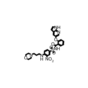 O=C(NS(=O)(=O)c1ccc(NCCCN2CCOCC2)c([N+](=O)[O-])c1)c1ccccc1Oc1cnc2[nH]ccc2c1